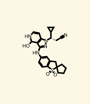 N#CC[C@@H](C1CC1)n1nc(Nc2ccc3c(c2)CC2(CCCC2)S3(=O)=O)c2c1C=CNC2O